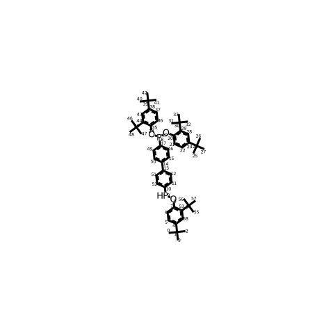 CC(C)(C)c1ccc(OPc2ccc(-c3ccc(P(Oc4ccc(C(C)(C)C)cc4C(C)(C)C)Oc4ccc(C(C)(C)C)cc4C(C)(C)C)cc3)cc2)c(C(C)(C)C)c1